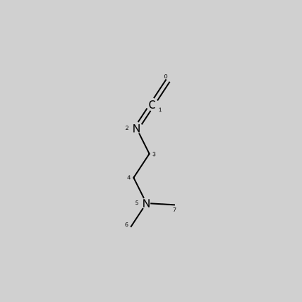 C=C=NCCN(C)C